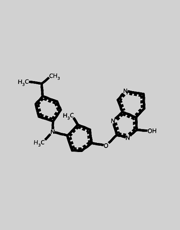 Cc1cc(Oc2nc(O)c3ccncc3n2)ccc1N(C)c1ccc(C(C)C)cc1